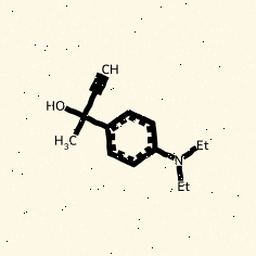 C#CC(C)(O)c1ccc(N(CC)CC)cc1